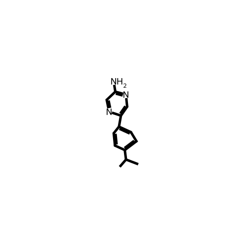 CC(C)c1ccc(-c2cnc(N)cn2)cc1